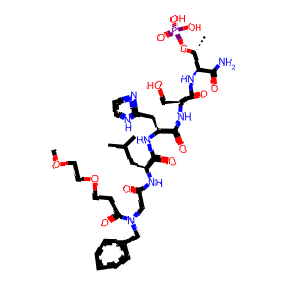 COCCOCCC(=O)N(CC(=O)N[C@@H](CC(C)C)C(=O)N[C@@H](Cc1ncc[nH]1)C(=O)N[C@@H](CO)C(=O)N[C@H](C(N)=O)[C@@H](C)OP(=O)(O)O)Cc1ccccc1